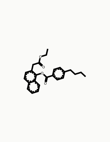 CCCCc1ccc(C(=O)Oc2c(CC(=O)OCC)ccc3ccccc23)cc1